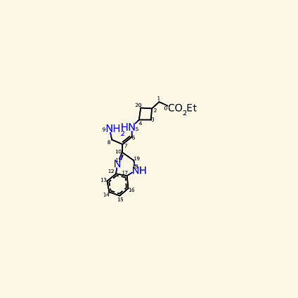 CCOC(=O)CC1CC(N/C=C(\CN)C2=Nc3ccccc3NC2)C1